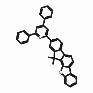 CC1(C)c2cc(-c3cc(-c4ccccc4)cc(-c4ccccc4)n3)ccc2-c2ccc3c(oc4ccccc43)c21